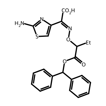 CCC(ON=C(C(=O)O)c1csc(N)n1)C(=O)OC(c1ccccc1)c1ccccc1